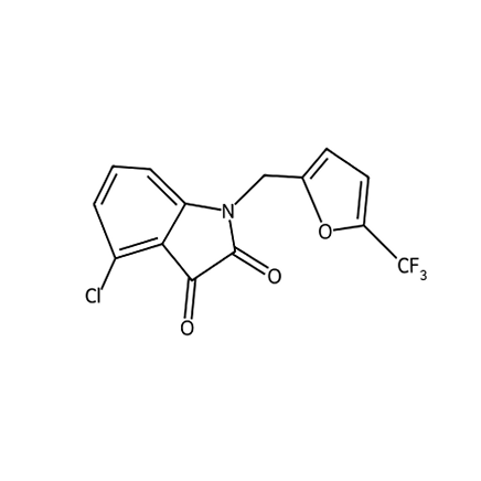 O=C1C(=O)N(Cc2ccc(C(F)(F)F)o2)c2cccc(Cl)c21